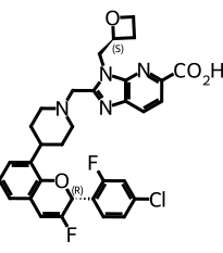 O=C(O)c1ccc2nc(CN3CCC(c4cccc5c4O[C@H](c4ccc(Cl)cc4F)C(F)=C5)CC3)n(C[C@@H]3CCO3)c2n1